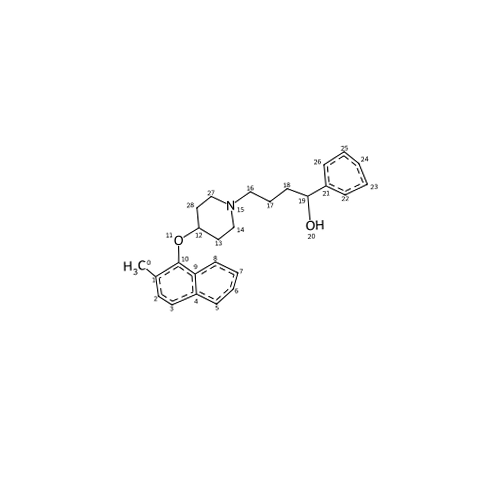 Cc1ccc2ccccc2c1OC1CCN(CCCC(O)c2ccccc2)CC1